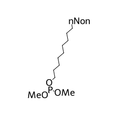 CCCCCCCCCCCCCCCCCCOP(OC)OC